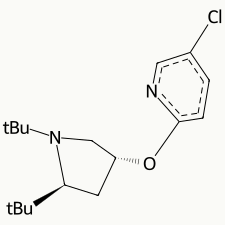 CC(C)(C)[C@@H]1C[C@@H](Oc2ccc(Cl)cn2)CN1C(C)(C)C